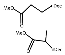 CCCCCCCCCCC(C)C(=O)OC.CCCCCCCCCCCCC(=O)OC